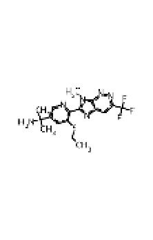 CCSc1cc(C(C)(C)N)cnc1-c1nc2cc(C(F)(F)F)nnc2n1C